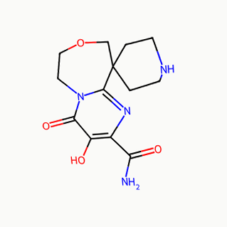 NC(=O)c1nc2n(c(=O)c1O)CCOCC21CCNCC1